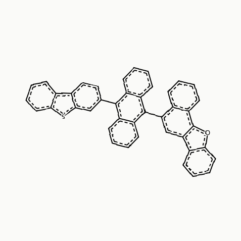 c1ccc2c(c1)oc1c3ccccc3c(-c3c4ccccc4c(-c4ccc5c(c4)sc4ccccc45)c4ccccc34)cc21